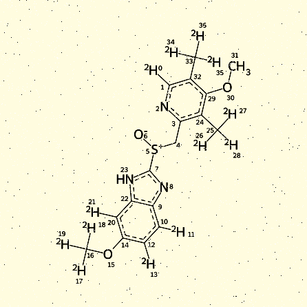 [2H]c1nc(C[S+]([O-])c2nc3c([2H])c([2H])c(OC([2H])([2H])[2H])c([2H])c3[nH]2)c(C([2H])([2H])[2H])c(OC)c1C([2H])([2H])[2H]